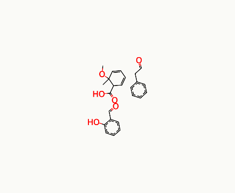 COC1(C)C=CC=CC1C(=O)O.O=CCc1ccccc1.O=Cc1ccccc1O